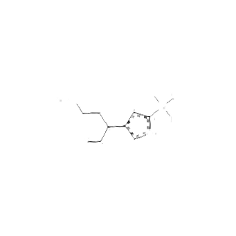 CCCCCCCCCCCCC(CC=O)c1coc([Si](CC)(CC)CC)c1